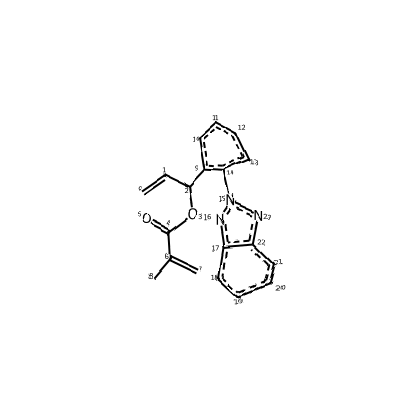 C=CC(OC(=O)C(=C)C)c1ccccc1-n1nc2ccccc2n1